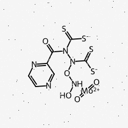 O=C(c1cnccn1)N(C(=S)[S-])N(ONO)C(=S)[S-].[O]=[Mo+2]=[O]